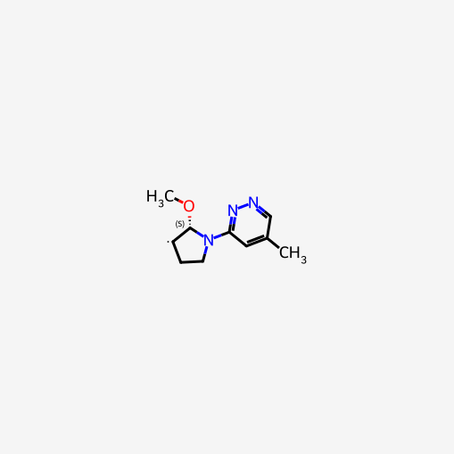 CO[C@H]1[CH]CCN1c1cc(C)cnn1